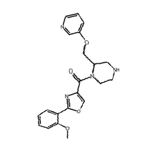 COc1ccccc1-c1nc(C(=O)N2CCNCC2COc2cccnc2)co1